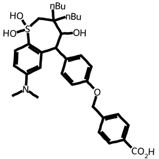 CCCCC1(CCCC)CS(O)(O)c2ccc(N(C)C)cc2C(c2ccc(OCc3ccc(C(=O)O)cc3)cc2)C1O